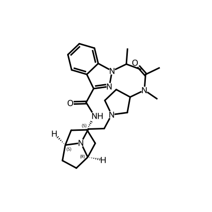 CC(=O)N(C)C1CCN(CCN2[C@@H]3CC[C@H]2C[C@H](NC(=O)c2nn(C(C)C)c4ccccc24)C3)C1